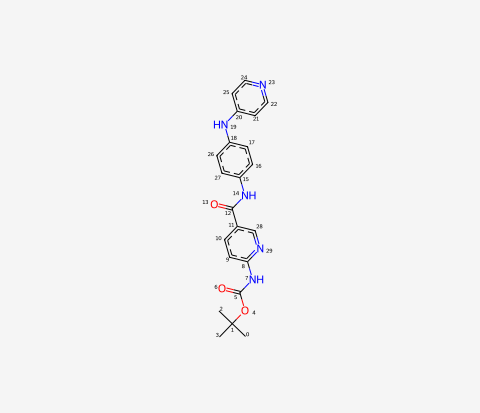 CC(C)(C)OC(=O)Nc1ccc(C(=O)Nc2ccc(Nc3ccncc3)cc2)cn1